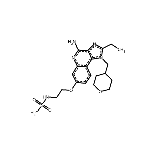 CCc1nc2c(N)nc3cc(OCCNS(C)(=O)=O)ccc3c2n1CC1CCOCC1